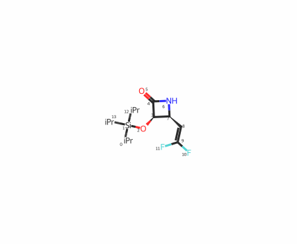 CC(C)[Si](O[C@H]1C(=O)N[C@H]1C=C(F)F)(C(C)C)C(C)C